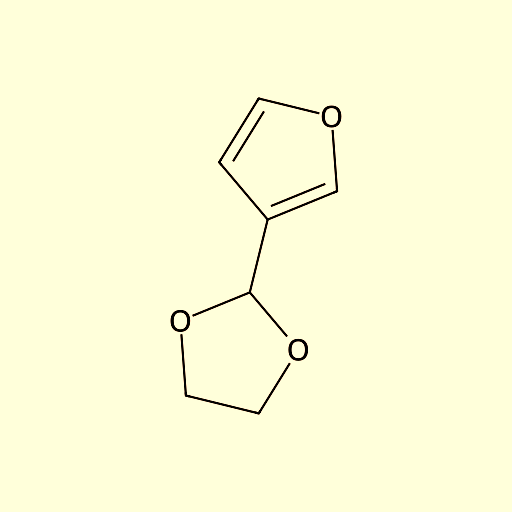 c1cc(C2OCCO2)co1